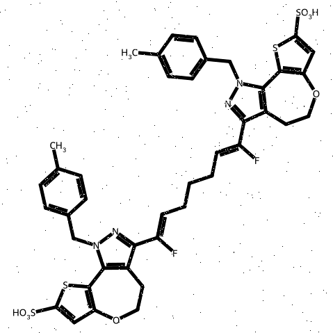 Cc1ccc(Cn2nc(/C(F)=C/CCC/C=C(\F)c3nn(Cc4ccc(C)cc4)c4c3CCOc3cc(S(=O)(=O)O)sc3-4)c3c2-c2sc(S(=O)(=O)O)cc2OCC3)cc1